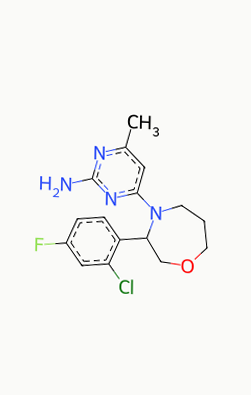 Cc1cc(N2CCCOCC2c2ccc(F)cc2Cl)nc(N)n1